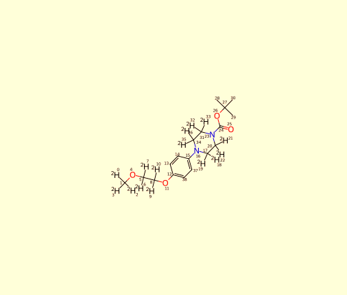 [2H]C([2H])([2H])OC([2H])([2H])C([2H])([2H])Oc1ccc(N2C([2H])([2H])C([2H])([2H])N(C(=O)OC(C)(C)C)C([2H])([2H])C2([2H])[2H])cc1